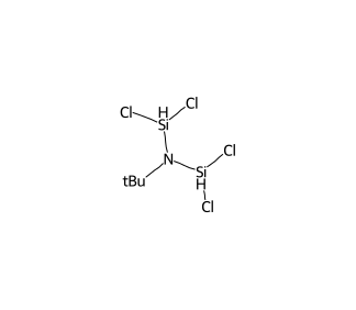 CC(C)(C)N([SiH](Cl)Cl)[SiH](Cl)Cl